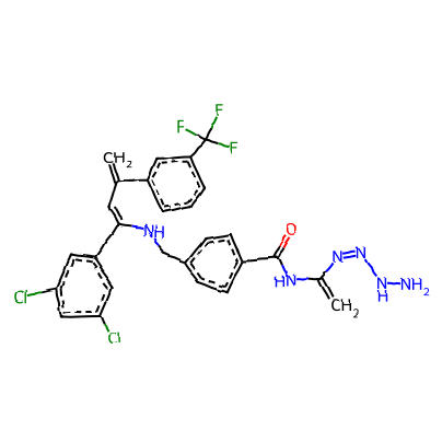 C=C(/N=N\NN)NC(=O)c1ccc(CN/C(=C\C(=C)c2cccc(C(F)(F)F)c2)c2cc(Cl)cc(Cl)c2)cc1